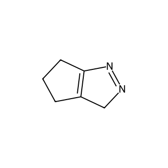 C1CC2=C(C1)N=NC2